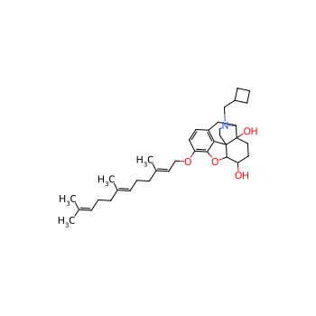 CC(C)=CCC/C(C)=C/CC/C(C)=C/COc1ccc2c3c1OC1C(O)CCC4(O)C(C2)N(CC2CCC2)CCC314